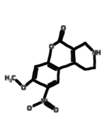 COc1cc2oc(=O)c3c(c2cc1[N+](=O)[O-])CCNC3